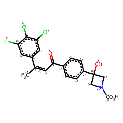 O=C(/C=C(\c1cc(Cl)c(Cl)c(Cl)c1)C(F)(F)F)c1ccc(C2(O)CN(C(=O)O)C2)cc1